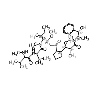 CC[C@H](C)[C@@H]([C@@H](CC(=O)C1CCC[C@H]1[C@H](OC)[C@@H](C)C(=O)N[C@H](C)[C@@H](O)c1ccccc1)OC)N(C)C(=O)C(NC(=O)C(NC)C(C)C)C(C)C